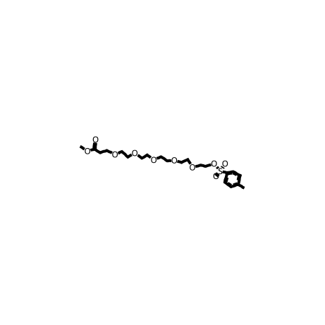 COC(=O)CCOCCOCCOCCOCCOCCOS(=O)(=O)c1ccc(C)cc1